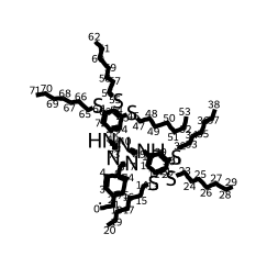 [CH2]Cc1ccc(-c2nc(Nc3cc(SCCCCCCC)c(SCCCCCCC)c(SCCCCCCC)c3)nc(Nc3cc(SCCCCCCC)c(SCCCCCCC)c(SCCCCCCC)c3)n2)cc1